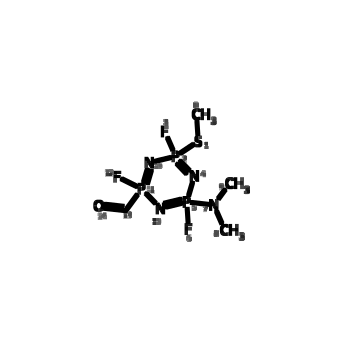 CSP1(F)=NP(F)(N(C)C)=NP(F)(C=O)=N1